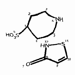 O=S(=O)(O)C1CCNCC1.O=c1ccs[nH]1